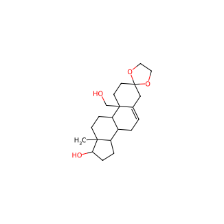 CC12CCC3C(CC=C4CC5(CCC43CO)OCCO5)C1CCC2O